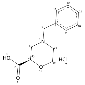 Cl.O=C(O)[C@H]1CN(Cc2ccccc2)CCO1